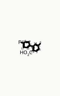 Cc1ccc(C(=O)O)c(-c2ccc(F)cc2)c1